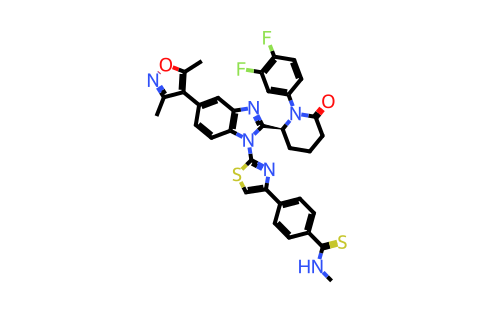 CNC(=S)c1ccc(-c2csc(-n3c([C@@H]4CCCC(=O)N4c4ccc(F)c(F)c4)nc4cc(-c5c(C)noc5C)ccc43)n2)cc1